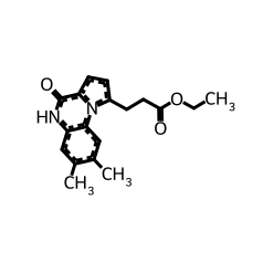 CCOC(=O)CCc1ccc2c(=O)[nH]c3cc(C)c(C)cc3n12